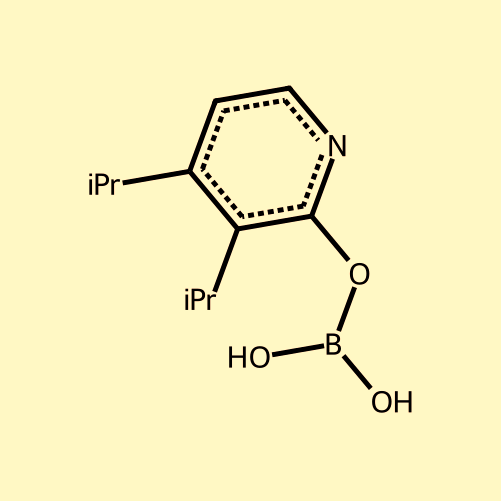 CC(C)c1ccnc(OB(O)O)c1C(C)C